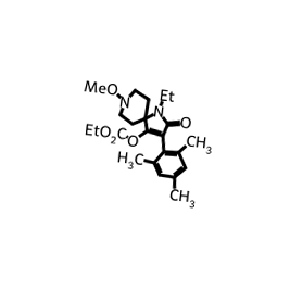 CCOC(=O)OC1=C(c2c(C)cc(C)cc2C)C(=O)N(CC)C12CCN(OC)CC2